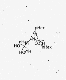 CCC(CO)(CO)CO.CCCCCCC1CN1CC(C(=O)O)(N1CC1CCCCCC)N1CC1CCCCCC